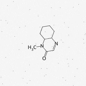 CN1C(=O)C=NC2CCCCC21